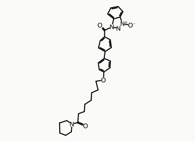 O=C(CCCCCCCOc1ccc(-c2ccc(C(=O)n3n[n+]([O-])c4ccccc43)cc2)cc1)N1CCCCC1